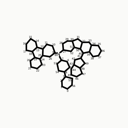 C1CCC(C2CCC(N(C3CCC4C5CCCCC5C5CCCCC5C4C3)C3CCC4CC5CC6CCCCC6C(C6CC7CCCCC7C6)C5C4C3)CC2)CC1